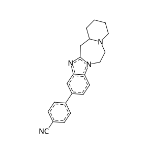 N#Cc1ccc(-c2ccc3c(c2)nc2n3CCN3CCCCC3C2)cc1